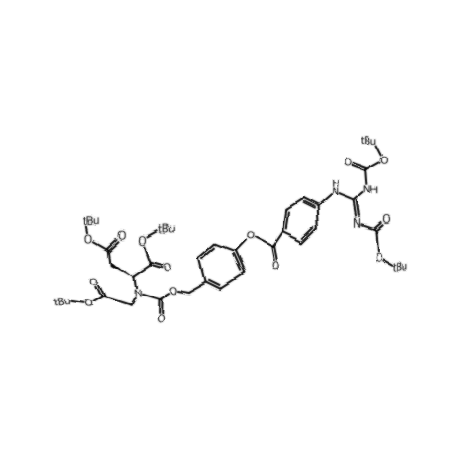 CC(C)(C)OC(=O)C[C@@H](C(=O)OC(C)(C)C)N(CC(=O)OC(C)(C)C)C(=O)OCc1ccc(OC(=O)c2ccc(NC(=NC(=O)OC(C)(C)C)NC(=O)OC(C)(C)C)cc2)cc1